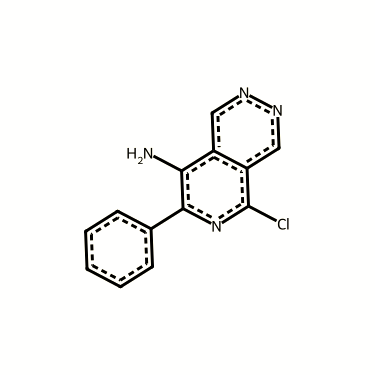 Nc1c(-c2ccccc2)nc(Cl)c2cnncc12